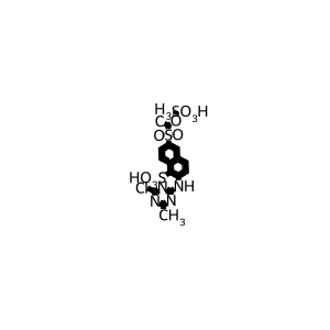 Cc1nc(Cl)nc(Nc2ccc3cc(S(=O)(=O)C(C)OS(=O)(=O)O)ccc3c2S(=O)(=O)O)n1